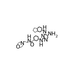 Nc1cnc(Nc2cccc(C(=O)NCCN3CCOCC3)c2)nc1Nc1ccc2c(c1)CCC2